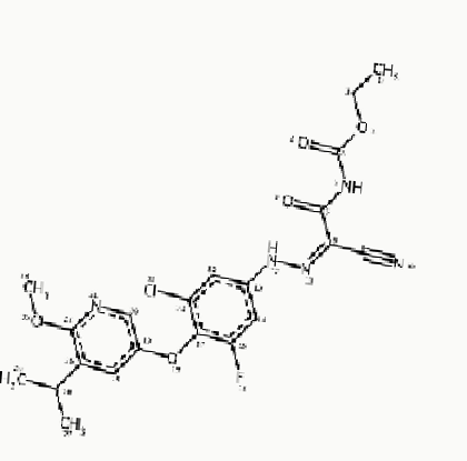 CCOC(=O)NC(=O)/C(C#N)=N\Nc1cc(F)c(Oc2cnc(OC)c(C(C)C)c2)c(Cl)c1